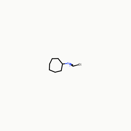 CC/C=N/C1CCCCCC1